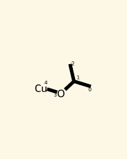 CC(C)[O][Cu]